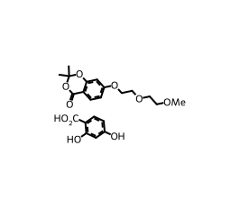 COCCOCCOc1ccc2c(c1)OC(C)(C)OC2=O.O=C(O)c1ccc(O)cc1O